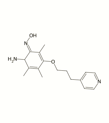 CC1=C(OCCCc2ccncc2)C(C)=C(C)C(N)C1=NO